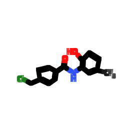 O=C(Nc1cc(C(F)(F)F)ccc1O)c1ccc(CCl)cc1